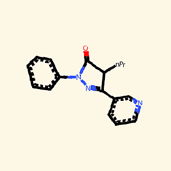 CCCC1C(=O)N(c2ccccc2)N=C1c1cccnc1